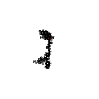 CC(C)(C)OC(=O)NCC(C(=O)Nc1ccc2cnccc2c1)c1ccc(CCOC(=O)CCC(=O)OCC(=N)[C@@]2(O)CC[C@H]3[C@@H]4CCC5=CC(=O)C=C[C@]5(C)[C@H]4[C@@H](O)C[C@@]32C)cc1